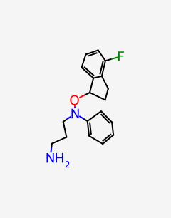 NCCCN(OC1CCc2c(F)cccc21)c1ccccc1